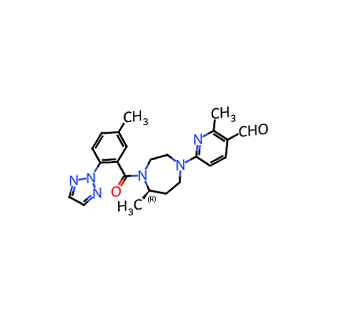 Cc1ccc(-n2nccn2)c(C(=O)N2CCN(c3ccc(C=O)c(C)n3)CC[C@H]2C)c1